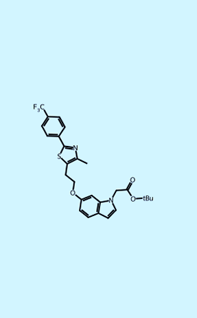 Cc1nc(-c2ccc(C(F)(F)F)cc2)sc1CCOc1ccc2ccn(CC(=O)OC(C)(C)C)c2c1